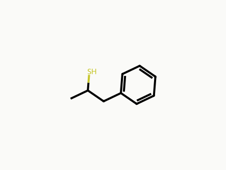 CC(S)Cc1ccccc1